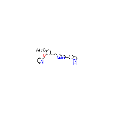 COC1=CC=C(/C=C/c2cc(/C=C/c3ccc4cc[nH]c4c3)[nH]n2)CC1OCc1ccccn1